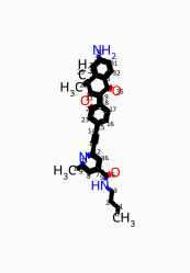 CCCCNC(=O)c1cc(C)nc(C#Cc2ccc3c4c(oc3c2)C(C)(C)c2cc(N)ccc2C4=O)c1